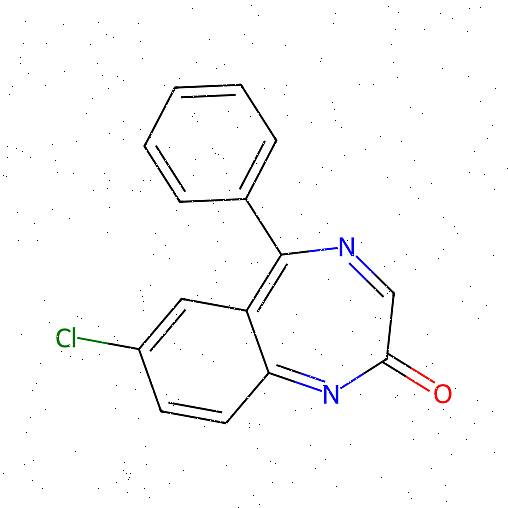 O=c1cnc(-c2ccccc2)c2cc(Cl)ccc2n1